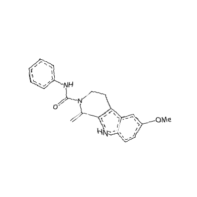 C=C1c2[nH]c3ccc(OC)cc3c2CCN1C(=O)Nc1ccccc1